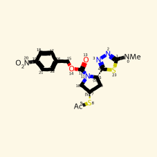 CNc1nnc([C@@H]2C[C@H](SC(C)=O)CN2C(=O)OCc2ccc([N+](=O)[O-])cc2)s1